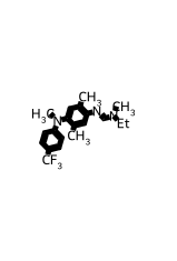 CCN(C)C=Nc1cc(C)c(N(C)c2ccc(C(F)(F)F)cc2)cc1C